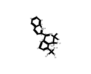 CC1(C)N=C(c2ccc3ccccc3n2)c2cccc(C(F)(F)F)c2C1(F)F